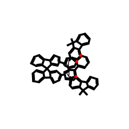 CC1(C)c2ccccc2-c2cc(N(c3ccccc3)c3ccc4c(c3)C3(c5ccccc5-4)c4ccccc4-c4ccc(N(c5ccc6c(c5)C(C)(C)c5ccccc5-6)c5ccccc5-c5ccccc5)cc43)ccc21